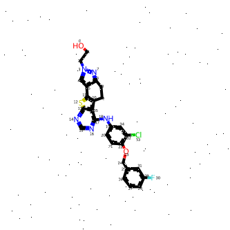 OCCn1cc2c(n1)CCc1c-2sc2ncnc(Nc3ccc(OCc4cccc(F)c4)c(Cl)c3)c12